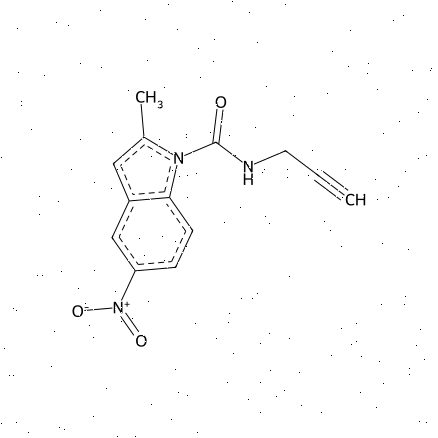 C#CCNC(=O)n1c(C)cc2cc([N+](=O)[O-])ccc21